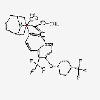 COC(=O)C1CC2CCCC(C1)N2C(C)c1ccc2c(C(F)(F)F)c(O[C@H]3CC[C@@H](C(F)(F)F)CC3)ccc2c1